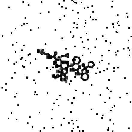 C=CCNC(=O)C(=O)[C@H](CC1CC1)NC(=O)[C@@H]1[C@@H]2[C@H](CN1C(=O)[C@@H](NC(=O)NC1(CS(=O)(=O)C3CCCC3)CCCCC1)C1CCCCC1)C2(C)C